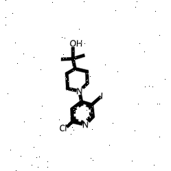 CC(C)(O)C1CCN(c2cc(Cl)ncc2I)CC1